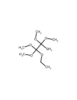 CCOC(OC)(OC)C([SiH3])(OC)OC